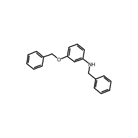 c1ccc(CNc2cccc(OCc3ccccc3)c2)cc1